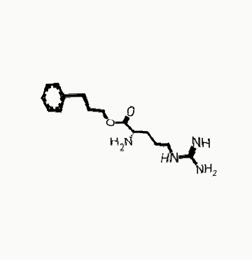 N=C(N)NCCC[C@H](N)C(=O)OCCCc1ccccc1